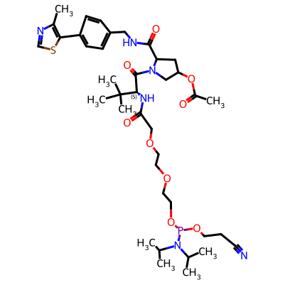 CC(=O)OC1CC(C(=O)NCc2ccc(-c3scnc3C)cc2)N(C(=O)[C@@H](NC(=O)COCCOCCOP(OCCC#N)N(C(C)C)C(C)C)C(C)(C)C)C1